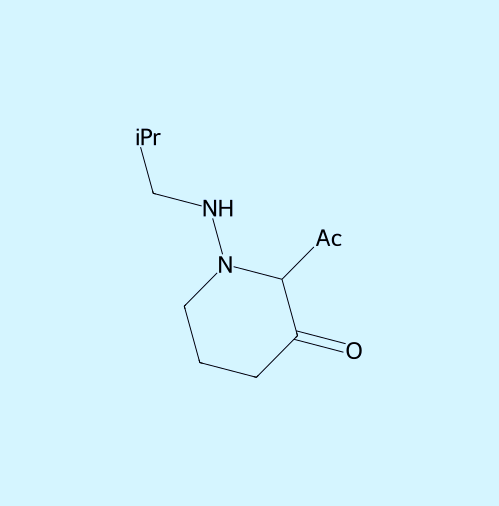 CC(=O)C1C(=O)CCCN1NCC(C)C